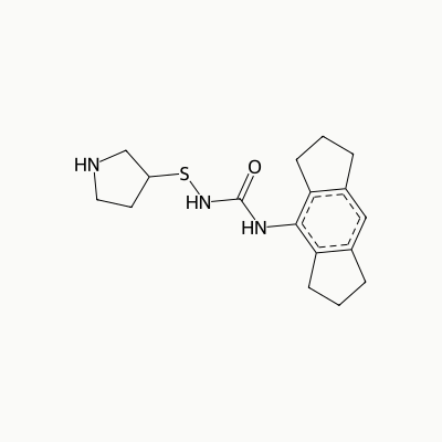 O=C(NSC1CCNC1)Nc1c2c(cc3c1CCC3)CCC2